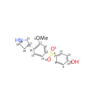 COc1cc(S(=O)(=O)c2ccc(O)cc2)ccc1[C@@H]1CCNC1